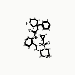 O=C(CC1(c2ccccc2)CCCNC1)Nc1cnccc1CC[C@H]1CNCCN1S(=O)(=O)C1CC1